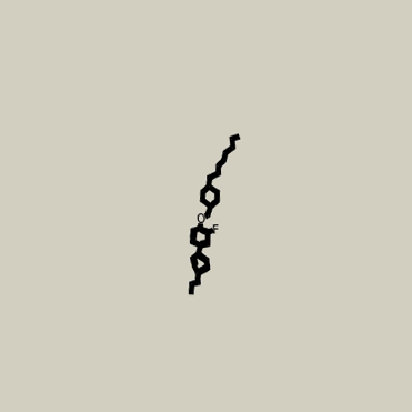 CCCCCCCCC1CCC(COc2ccc(-c3ccc(CCC)cc3)cc2F)CC1